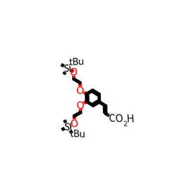 CC(C)(C)[Si](C)(C)OCCOc1ccc(C=CC(=O)O)cc1OCCO[Si](C)(C)C(C)(C)C